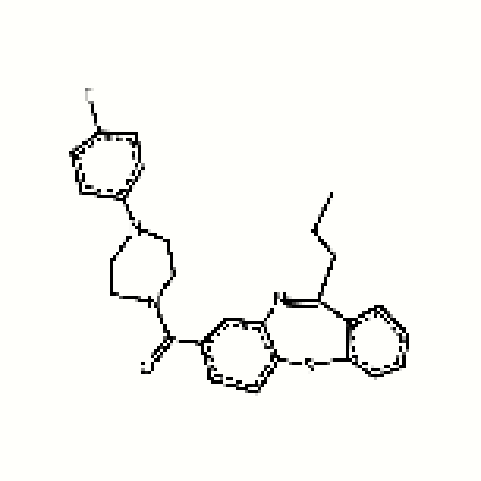 CCCC1=Nc2cc(C(=O)N3CCN(c4ccc(F)cc4)CC3)ccc2Sc2ccccc21